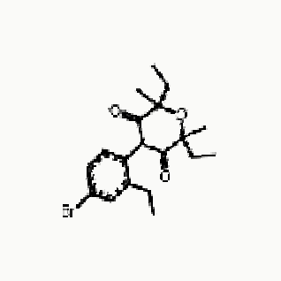 CCc1cc(Br)ccc1C1C(=O)C(C)(CC)OC(C)(CC)C1=O